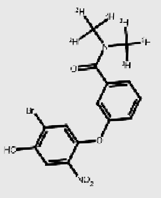 [2H]C([2H])([2H])N(C(=O)c1cccc(Oc2cc(Br)c(O)cc2[N+](=O)[O-])c1)C([2H])([2H])[2H]